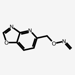 C=NOCc1ccc2ocnc2n1